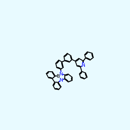 c1ccc(-c2cc(-c3cccc(-c4cccc(N5B6c7ccccc7-c7ccccc7N6c6ccccc65)c4)c3)cc(-c3ccccc3)n2)cc1